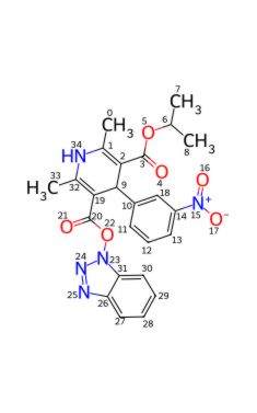 CC1=C(C(=O)OC(C)C)C(c2cccc([N+](=O)[O-])c2)C(C(=O)On2nnc3ccccc32)=C(C)N1